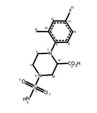 CCCS(=O)(=O)N1CCN(c2ccc(F)cc2C)C(C(=O)O)C1